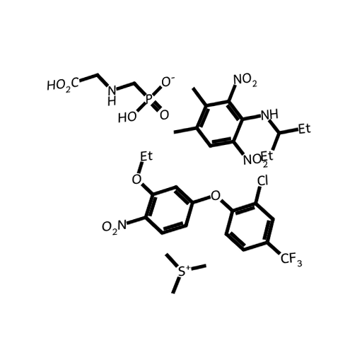 CCC(CC)Nc1c([N+](=O)[O-])cc(C)c(C)c1[N+](=O)[O-].CCOc1cc(Oc2ccc(C(F)(F)F)cc2Cl)ccc1[N+](=O)[O-].C[S+](C)C.O=C(O)CNCP(=O)([O-])O